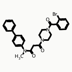 CN(C(=O)CC(=O)N1CCN(C(=O)c2ccccc2Br)CC1)c1ccc(-c2ccccc2)cc1